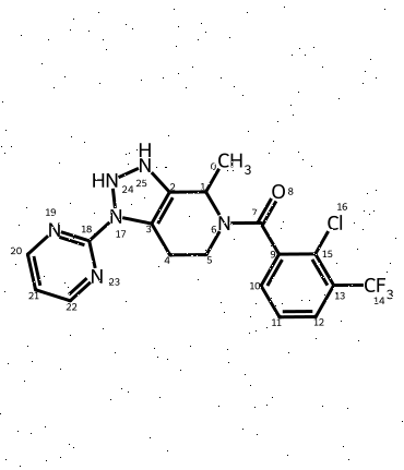 CC1C2=C(CCN1C(=O)c1cccc(C(F)(F)F)c1Cl)N(c1ncccn1)NN2